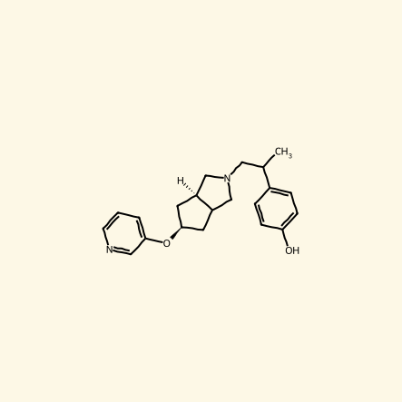 CC(CN1CC2C[C@@H](Oc3cccnc3)C[C@H]2C1)c1ccc(O)cc1